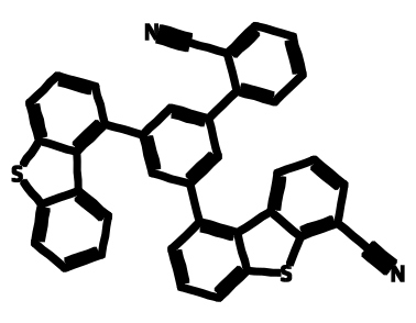 N#Cc1ccccc1-c1cc(-c2cccc3sc4ccccc4c23)cc(-c2cccc3sc4c(C#N)cccc4c23)c1